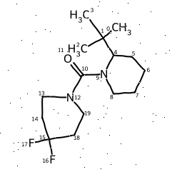 CC(C)(C)C1CCCCN1C(=O)N1CCC(F)(F)CC1